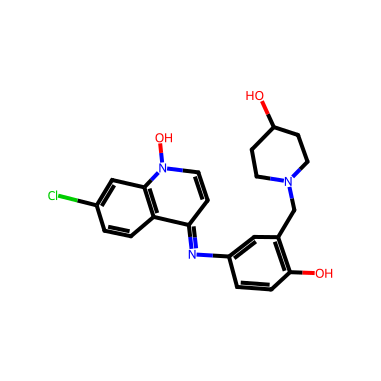 Oc1ccc(N=c2ccn(O)c3cc(Cl)ccc23)cc1CN1CCC(O)CC1